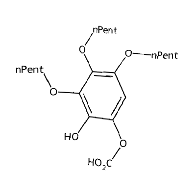 CCCCCOc1cc(OC(=O)O)c(O)c(OCCCCC)c1OCCCCC